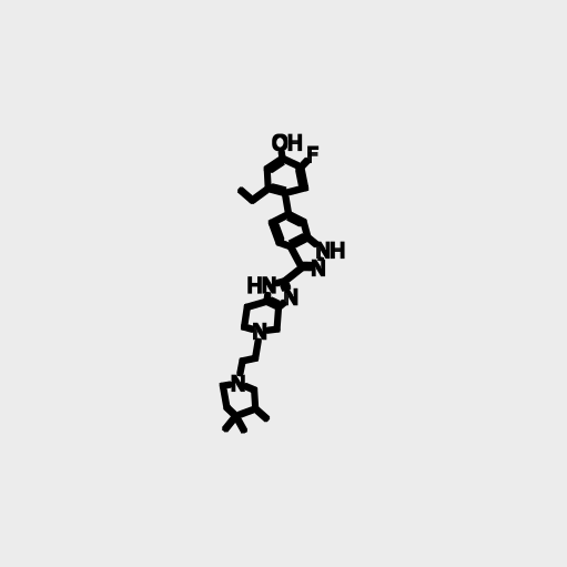 CCc1cc(O)c(F)cc1-c1ccc2c(-c3nc4c([nH]3)CCN(CCN3CCC(C)(C)C(C)C3)C4)n[nH]c2c1